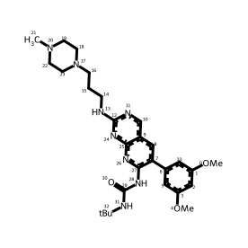 COc1cc(OC)cc(-c2cc3cnc(NCCCN4CCN(C)CC4)nc3nc2NC(=O)NC(C)(C)C)c1